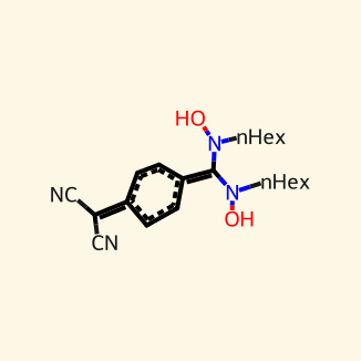 CCCCCCN(O)C(=c1ccc(=C(C#N)C#N)cc1)N(O)CCCCCC